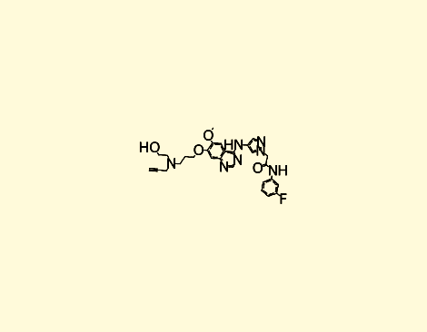 C#CCN(CCO)CCCOc1cc2ncnc(Nc3cnn(CC(=O)Nc4cccc(F)c4)c3)c2cc1OC